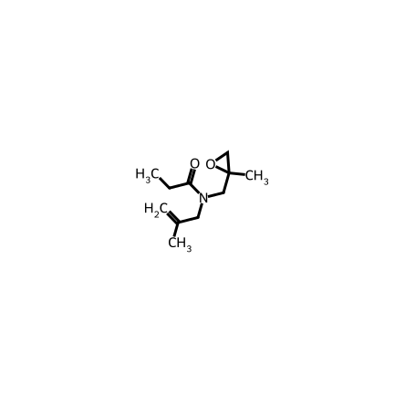 C=C(C)CN(CC1(C)CO1)C(=O)CC